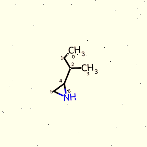 CCC(C)C1CN1